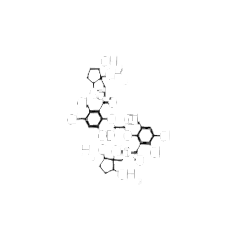 CC1CCC(C)C1(C)COC(=O)c1c(Cl)c(Cl)cc(Cl)c1OC(=O)C(=O)Oc1c(Cl)cc(Cl)c(Cl)c1C(=O)OCC1(C)C(C)CCC1C